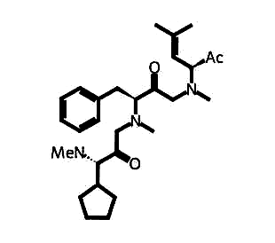 CN[C@H](C(=O)CN(C)[C@@H](Cc1ccccc1)C(=O)CN(C)[C@@H](C=C(C)C)C(C)=O)C1CCCC1